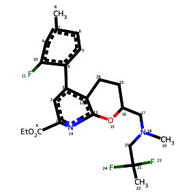 CCOC(=O)c1cc(-c2ccc(C)cc2F)c2c(n1)OC(CN(C)CC(C)(F)F)CC2